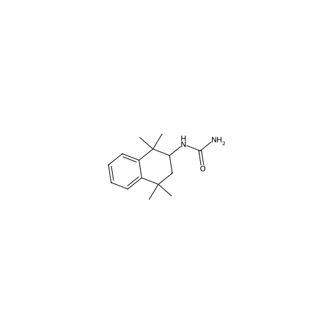 CC1(C)CC(NC(N)=O)C(C)(C)c2ccccc21